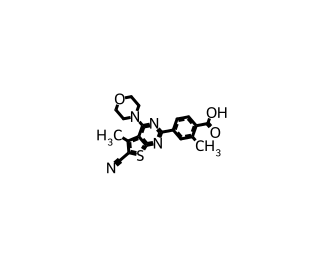 Cc1cc(-c2nc(N3CCOCC3)c3c(C)c(C#N)sc3n2)ccc1C(=O)O